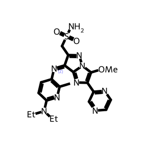 CCN(CC)c1ccc(/N=C2/C(CS(N)(=O)=O)=Nn3c2nc(-c2cnccn2)c3OC)c(C)n1